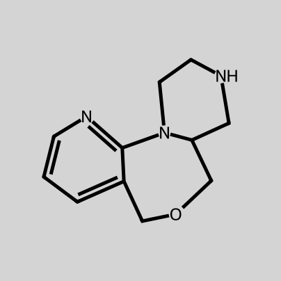 c1cnc2c(c1)COCC1CNCCN21